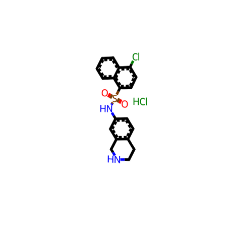 Cl.O=S(=O)(Nc1ccc2c(c1)CNCC2)c1ccc(Cl)c2ccccc12